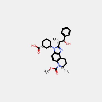 COC(=O)N1c2ccc3c(nc([C@H](C)[C@H](O)c4ccccc4)n3[C@@H]3CCC[C@@H](C(=O)O)C3)c2CC[C@@H]1C